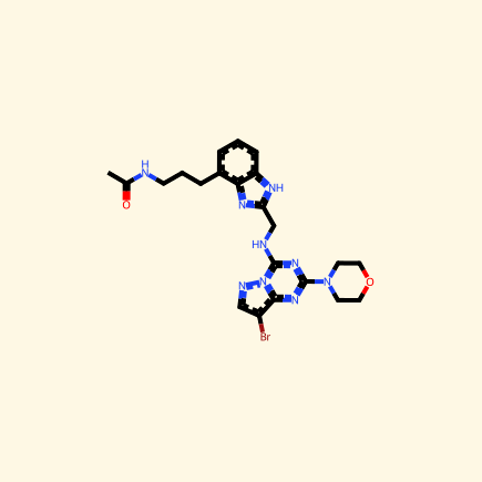 CC(=O)NCCCc1cccc2[nH]c(CNc3nc(N4CCOCC4)nc4c(Br)cnn34)nc12